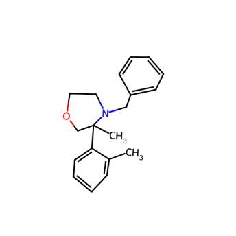 Cc1ccccc1C1(C)COCCN1Cc1ccccc1